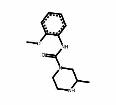 COc1ccccc1NC(=O)N1CCNC(C)C1